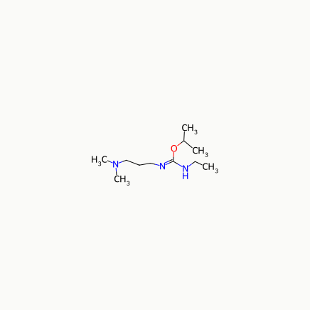 CCN/C(=N/CCCN(C)C)OC(C)C